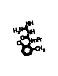 CCCN(C(=O)NC(=N)N)c1c(C)cccc1Cl